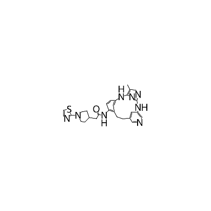 Cc1cnc2nc1Nc1ccc(NC(=O)CC3CCN(c4nccs4)CC3)c(c1)CCc1cncc(c1)N2